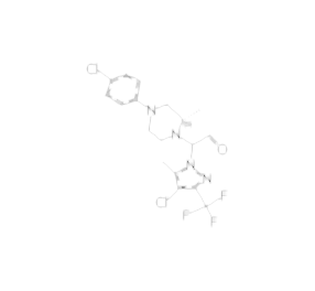 Cc1c(Cl)c(C(F)(F)F)nn1C(C=O)N1CCN(c2ccc(Cl)cc2)C[C@@H]1C